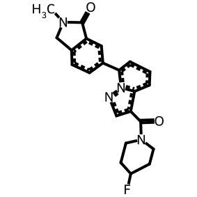 CN1Cc2ccc(-c3cccc4c(C(=O)N5CCC(F)CC5)cnn34)cc2C1=O